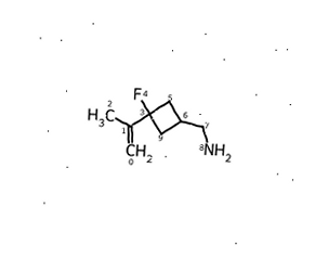 C=C(C)C1(F)CC(CN)C1